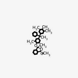 COC(=O)c1ccccc1C(=O)Oc1c(C)cc(C(C)(c2ccccc2)c2cc(C)c(C)c(C)c2)cc1C